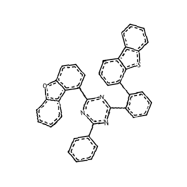 c1ccc(-c2nc(-c3ccccc3-c3cccc4c3sc3ccccc34)nc(-c3cccc4oc5ccccc5c34)n2)cc1